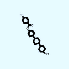 CCCC1CCC(C2CCC(c3ccc(OC(=O)c4ccc(CC)cc4)cc3)CC2)CC1